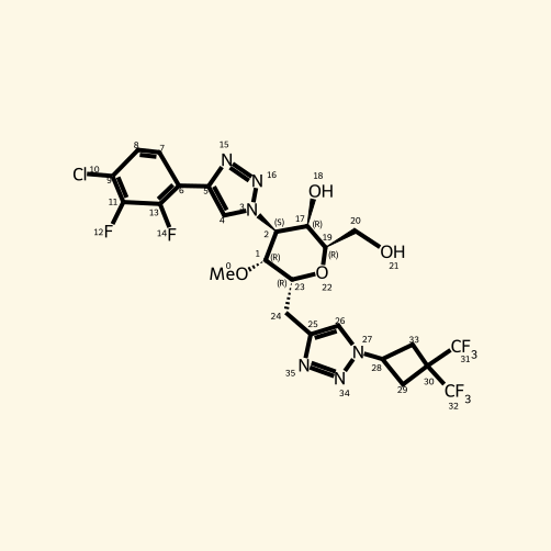 CO[C@@H]1[C@@H](n2cc(-c3ccc(Cl)c(F)c3F)nn2)[C@@H](O)[C@@H](CO)O[C@@H]1Cc1cn(C2CC(C(F)(F)F)(C(F)(F)F)C2)nn1